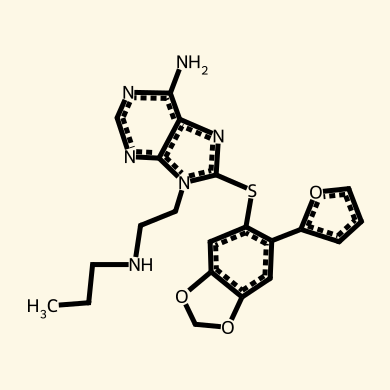 CCCNCCn1c(Sc2cc3c(cc2-c2ccco2)OCO3)nc2c(N)ncnc21